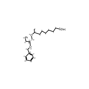 CCCCCCCCCCCCCCCCC(C)OC[C@@H](CC(C)C)OCc1ccccc1